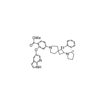 CCc1ccccc1[C@@H]1CCCN1C1CC2(CCN(c3ccc(C(=O)OC)c(Oc4cnc5[nH]ccc5c4)c3)CC2)C1